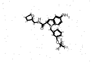 Nc1ccc2c(c1)cc(C(=O)NCC1CCCO1)n2Cc1cccc(OC(F)(F)F)c1